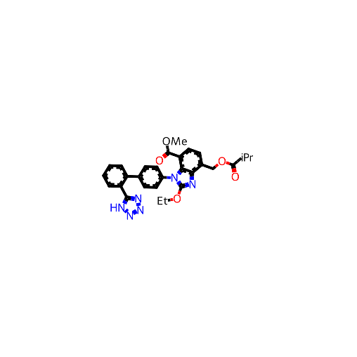 CCOc1nc2c(COC(=O)C(C)C)ccc(C(=O)OC)c2n1-c1ccc(-c2ccccc2-c2nnn[nH]2)cc1